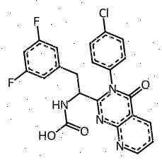 O=C(O)NC(Cc1cc(F)cc(F)c1)c1nc2ncccc2c(=O)n1-c1ccc(Cl)cc1